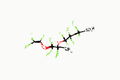 O=S(=O)(O)C(F)(F)C(F)(F)C(F)(F)OC(F)(C(F)(F)F)C(F)(F)OC(F)=C(F)F